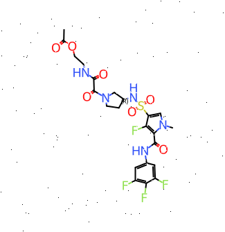 CC(=O)OCCNC(=O)C(=O)N1CC[C@@H](NS(=O)(=O)c2cn(C)c(C(=O)Nc3cc(F)c(F)c(F)c3)c2F)C1